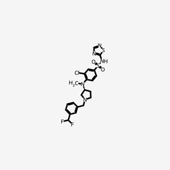 CN(c1ccc(S(=O)(=O)Nc2ncns2)cc1Cl)[C@H]1CCN(Cc2cccc(C(F)F)c2)C1